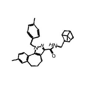 Cc1ccc(Cn2nc(C(=O)NCC3CCC4CC3C4(C)C)c3c2-c2ccc(C)cc2CCC3)cc1